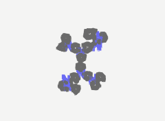 c1ccc(-c2c(-c3ccc(N(c4ccc(-c5ccc(N(c6ccc(-c7nc8ccccn8c7-c7ccccc7)cc6)c6ccc(-n7c8ccccc8c8ccccc87)cc6)cc5)cc4)c4ccc(-n5c6ccccc6c6ccccc65)cc4)cc3)nc3ccccn23)cc1